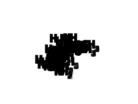 CCC(C)C(NC(=O)CNC(=O)C(CCSC)NC(=O)C(CCCNC(=N)N)NC(=O)C(Cc1ccccc1)NC(=O)C1CCCN1C(=O)C(C)NC(C)=O)C(=O)NC(CSCC(=O)O)C(=O)NC(C(=O)NC(C(=O)NC(CC(N)=O)C(N)=O)C(C)O)C(C)O